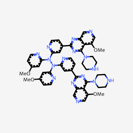 COc1ccnc(N(c2cc(-c3nc(N4CCNCC4)c4c(OC)cncc4n3)ccn2)N(c2cc(OC)ccn2)c2cc(-c3nc(N4CCNCC4)c4c(OC)cncc4n3)ccn2)c1